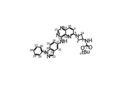 CC(C)(C)OC(=O)NC1CN(c2ccc3ncnc(Nc4ccc5c(cnn5-c5ccccc5)c4)c3n2)C1